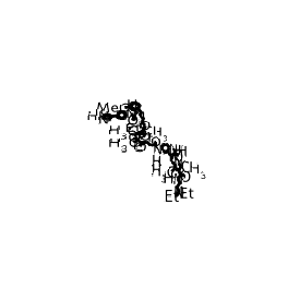 CCN(CC)CCNC(=O)c1c(C)[nH]c(/C=C2\C(=O)Nc3ccc(NC(=O)CCC(=O)C(C)(CC)O[C@@H](C)C(=O)C(C)(CC)OCCN(Cc4cccc(OC)c4)C(=O)Nc4ccc(-c5cn[nH]c5)cc4)cc32)c1C